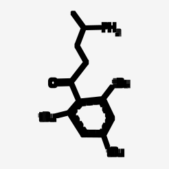 CC(P)CCC(=O)c1c(C(C)(C)C)cc(C(C)(C)C)cc1C(C)(C)C